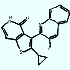 O=c1[nH]ccc2sc(C3CC3)c(-c3nc4ccccc4cc3F)c12